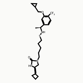 C[C@H](NSCCCCCN1CC(=C2CCC2)NC1=O)c1ccc(C(F)(F)F)c(OCC2CC2)c1